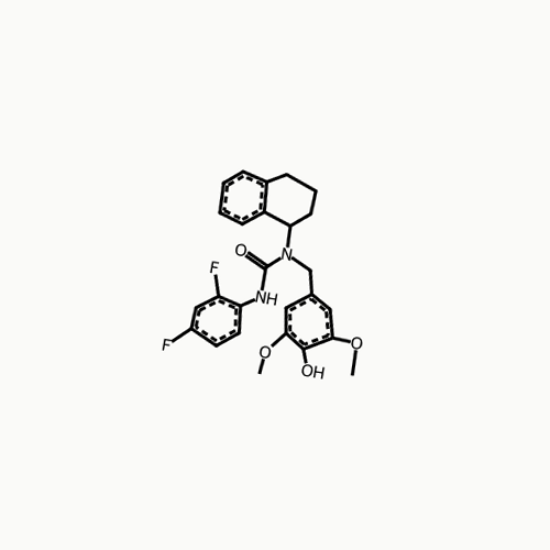 COc1cc(CN(C(=O)Nc2ccc(F)cc2F)C2CCCc3ccccc32)cc(OC)c1O